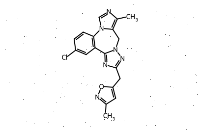 Cc1cc(Cc2nc3n(n2)Cc2c(C)ncn2-c2ccc(Cl)cc2-3)on1